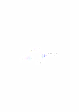 C=N/C=C\N(C=O)C(C)C